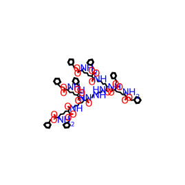 NC(CCCC(C(=O)NCCCCC(NC(=O)C(CCCC(N)C(=O)OCc1ccccc1)C(=O)OCc1ccccc1)C(=O)NCCNCCNC(=O)C(CCCCNC(=O)C(CCCC(N)C(=O)OCc1ccccc1)C(=O)OCc1ccccc1)NC(=O)C(CCCC(N)C(=O)OCc1ccccc1)C(=O)OCc1ccccc1)C(=O)OCc1ccccc1)C(=O)OCc1ccccc1